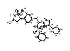 O=C1CC(c2ccc(C[C@H](NS(=O)(=O)c3ccccc3)c3ncc(-c4ccccc4)[nH]3)cc2Br)S(=O)(=O)N1